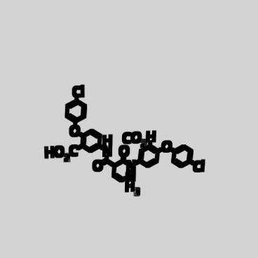 C/C=C\C(C(=O)Nc1ccc(Oc2ccc(Cl)cc2)c(C(=O)O)c1)C(=O)Nc1ccc(Oc2ccc(Cl)cc2)c(C(=O)O)c1